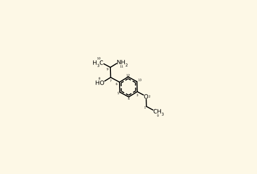 CCOc1ccc(C(O)C(C)N)cc1